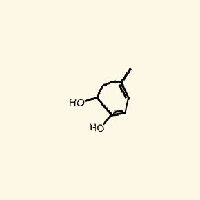 CC1=CC=C(O)C(O)C1